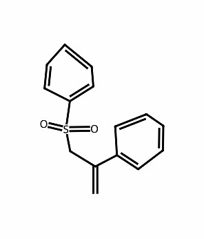 C=C(CS(=O)(=O)c1ccccc1)c1ccccc1